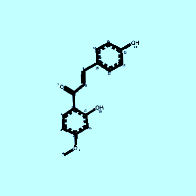 COc1ccc(C(=O)/C=C/c2c[c]c(O)cc2)c(O)c1